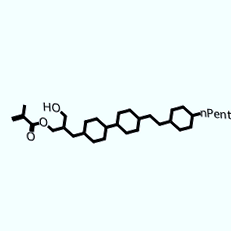 C=C(C)C(=O)OCC(CO)CC1CCC(C2CCC(CCC3CCC(CCCCC)CC3)CC2)CC1